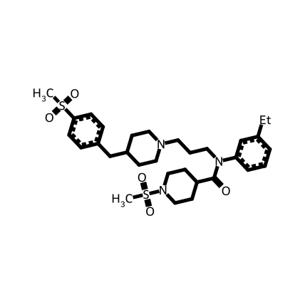 CCc1cccc(N(CCCN2CCC(Cc3ccc(S(C)(=O)=O)cc3)CC2)C(=O)C2CCN(S(C)(=O)=O)CC2)c1